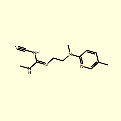 CNC(=NCCN(C)c1ccc(C)cn1)NC#N